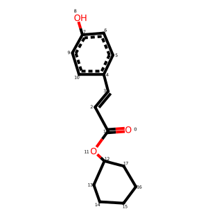 O=C(/C=C/c1ccc(O)cc1)OC1CCCCC1